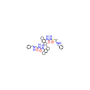 CC(CNCc1ccccc1)C[S+]([O-])NC(=O)Nc1c2c(cc3c1CC(C1CCc4cc5c(c(NC(=O)NC(=O)CNCc6ccccc6)c41)CCC5)C3)CCC2